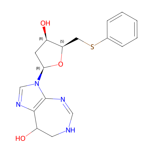 OC1CNC=Nc2c1ncn2[C@H]1C[C@@H](O)[C@@H](CSc2ccccc2)O1